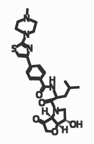 CC(C)CC(NC(=O)c1ccc(-c2csc(N3CCN(C)CC3)n2)cc1)C(=O)N1C[C@H](O)[C@H]2OCC(=O)[C@H]21